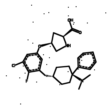 CN(C)[C@]1(c2ccccc2)CC[C@@H](Cc2cc(O[C@@H]3CN[C@H](C(=O)O)C3)cc(Cl)c2F)CC1